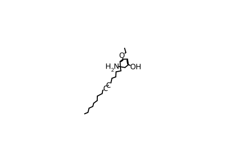 CCCCCCCCCCCCCCCCC1(N)C=C(OCC)C=C(O)C1